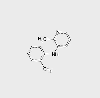 Cc1ccccc1Nc1cccnc1C